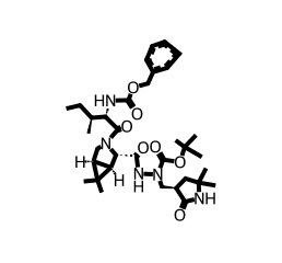 CC[C@H](C)[C@H](NC(=O)OCc1ccccc1)C(=O)N1C[C@H]2[C@@H]([C@H]1C(=O)NN(C[C@H]1CC(C)(C)NC1=O)C(=O)OC(C)(C)C)C2(C)C